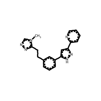 Cn1cnnc1CCc1cccc(-c2cc(-c3ccccn3)n[nH]2)c1